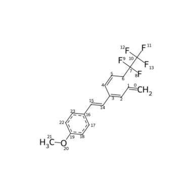 C=C/C=C(\C=C/CC(F)(F)C(F)(F)F)/C=C/c1ccc(OC)cc1